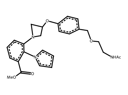 COC(=O)c1cccc(N2CC(Oc3ccc(COCCNC(C)=O)cc3)C2)c1-n1cccc1